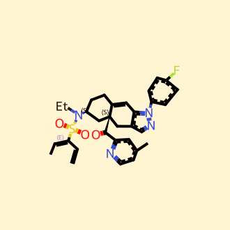 C=C/C(=C\C)S(=O)(=O)N(CC)[C@H]1CCC2=Cc3c(cnn3-c3ccc(F)cc3)C[C@]2(C(=O)c2cc(C)ccn2)C1